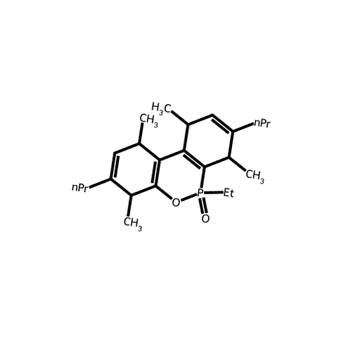 CCCC1=CC(C)C2=C(OP(=O)(CC)C3=C2C(C)C=C(CCC)C3C)C1C